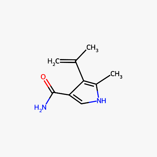 C=C(C)c1c(C(N)=O)c[nH]c1C